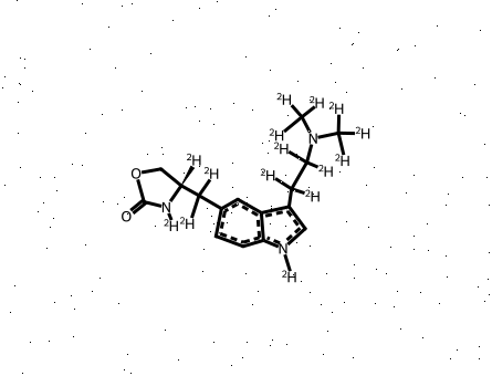 [2H]N1C(=O)OC[C@]1([2H])C([2H])([2H])c1ccc2c(c1)c(C([2H])([2H])C([2H])([2H])N(C([2H])([2H])[2H])C([2H])([2H])[2H])cn2[2H]